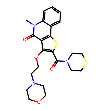 Cn1c(=O)c2c(OCCN3CCOCC3)c(C(=O)N3CCSCC3)sc2c2ccccc21